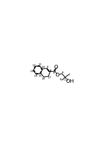 CC(C)(O)COC(=O)C1=Cc2ccccc2CC1